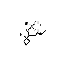 CCC1(C(C/C=C/I)O[Si](C)(C)C(C)(C)C)CCC1